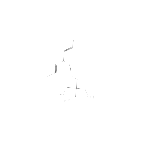 CC=CC(C=CC)OCCC(CO)(CO)CO